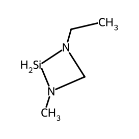 CCN1CN(C)[SiH2]1